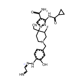 N#CCC1(n2cc(C(N)=O)c(NC(=O)C3CC3)n2)CCN(Cc2ccc(N/N=C\C=N)c(O)c2)CC1F